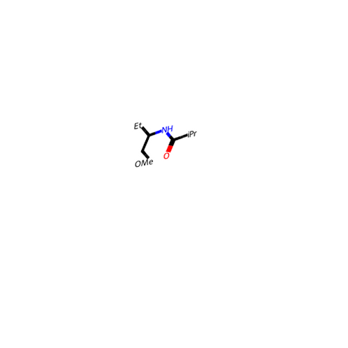 CCC(COC)NC(=O)C(C)C